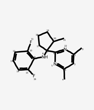 Cc1cc(C)nc(C2(Nc3c(F)cccc3F)CCCC2C)n1